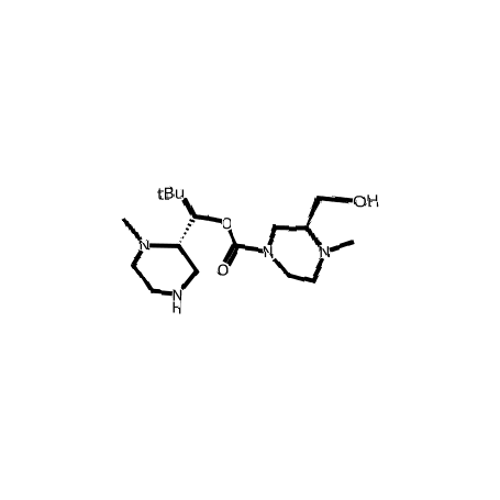 CN1CCN(C(=O)OC([C@@H]2CNCCN2C)C(C)(C)C)C[C@H]1CO